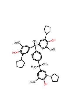 CC(C)(c1ccc(C(C)(c2cc(C=O)c(O)c(C3CCCC3)c2)c2cc(C=O)c(O)c(C3CCCC3)c2)cc1)c1cc(C=O)c(O)c(C2CCCC2)c1